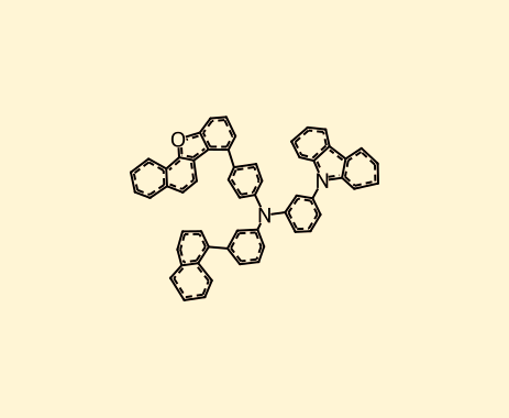 c1cc(-c2cccc3ccccc23)cc(N(c2ccc(-c3cccc4oc5c6ccccc6ccc5c34)cc2)c2cccc(-n3c4ccccc4c4ccccc43)c2)c1